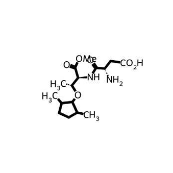 COC(=O)[C@@H](NC(=O)[C@@H](N)CC(=O)O)[C@@H](C)OC1C(C)CCC1C